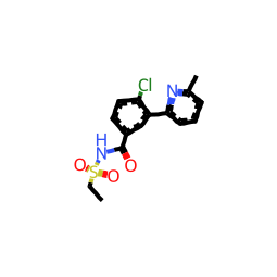 CCS(=O)(=O)NC(=O)c1ccc(Cl)c(-c2cccc(C)n2)c1